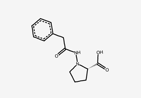 O=C(Cc1ccccc1)NN1CCC[C@H]1C(=O)O